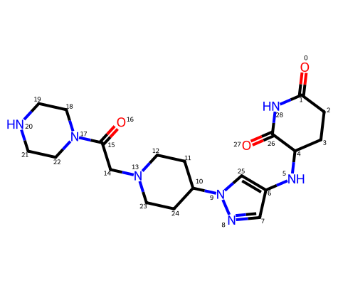 O=C1CCC(Nc2cnn(C3CCN(CC(=O)N4CCNCC4)CC3)c2)C(=O)N1